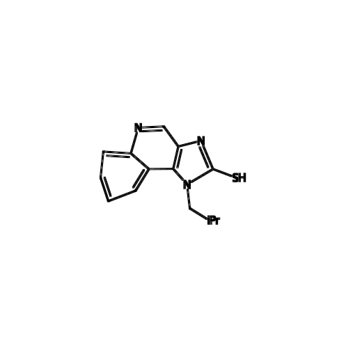 CC(C)Cn1c(S)nc2cnc3ccccc3c21